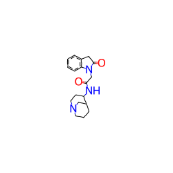 O=C(CN1C(=O)Cc2ccccc21)NC1CCN2CCCC1C2